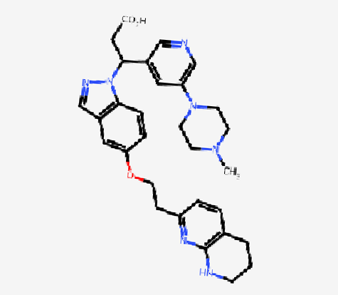 CN1CCN(c2cncc(C(CC(=O)O)n3ncc4cc(OCCc5ccc6c(n5)NCCC6)ccc43)c2)CC1